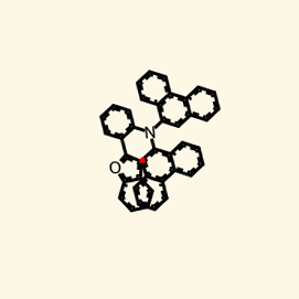 c1ccc(N(c2cc3ccccc3c3ccccc23)c2cc3ccccc3c3ccccc23)c(-c2cc3ccccc3o2)c1